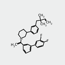 C=CC(C)(C)Cc1cccc(C2CCCN(C(=C)c3cccc(-c4ccc(F)c(F)c4)c3)C2)c1